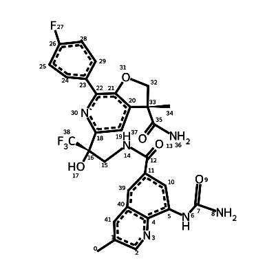 Cc1cnc2c(NC(N)=O)cc(C(=O)NC[C@](O)(c3cc4c(c(-c5ccc(F)cc5)n3)OC[C@]4(C)C(N)=O)C(F)(F)F)cc2c1